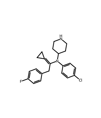 Fc1ccc(CC(=C2CC2)N(c2ccc(Cl)cc2)C2CCNCC2)cc1